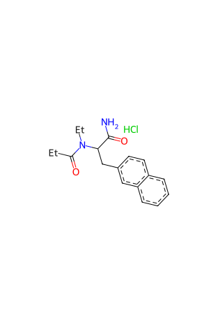 CCC(=O)N(CC)C(Cc1ccc2ccccc2c1)C(N)=O.Cl